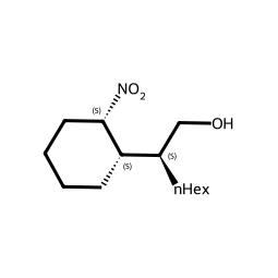 CCCCCC[C@H](CO)[C@@H]1CCCC[C@@H]1[N+](=O)[O-]